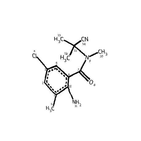 Cc1cc(Cl)cc(C(=O)N(C)C(C)(C)C#N)c1N